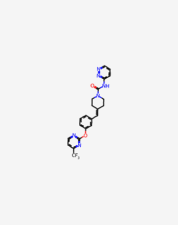 O=C(Nc1cccnn1)N1CCC(=Cc2cccc(Oc3nccc(C(F)(F)F)n3)c2)CC1